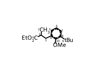 CCOC(=O)C(C)Cc1cccc(C(C)(C)C)c1OC